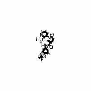 Cc1ncccc1-n1cc(C(=O)Nc2ccc(OC(F)(F)Cl)cc2)ccc1=O